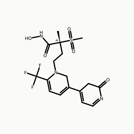 C[C@@](CCN1CC(C2=CC=NC(=O)C2)=CC=C1C(F)(F)F)(C(=O)NO)S(C)(=O)=O